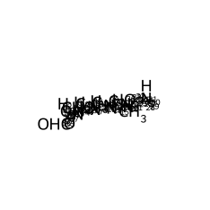 Cc1cc(N=Nc2ccc(N=Nc3cc(C)c(N=Nc4ccc5cc(Nc6ccccc6)ccc5c4O)cc3C)cc2C)ccc1N=Nc1cc(OC=O)cc(OC=O)c1